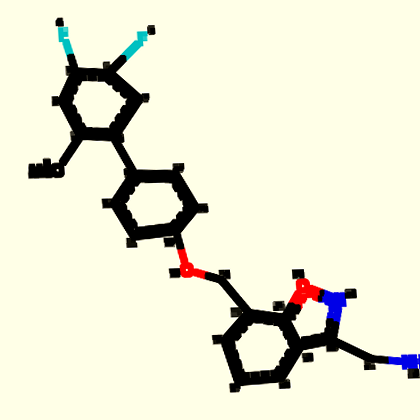 COc1cc(F)c(F)cc1-c1ccc(OCc2cccc3c(CN)noc23)cc1